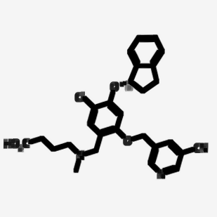 CN(CCCC(=O)O)Cc1cc(Cl)c(O[C@H]2CCc3ccccc32)cc1OCc1cncc(C#N)c1